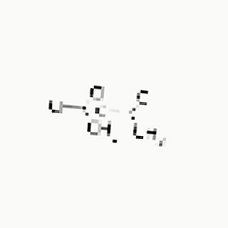 CC(Cl)Cl.CC(Cl)Cl